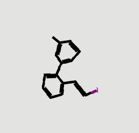 Cc1cccc(-c2ccccc2C=CI)c1